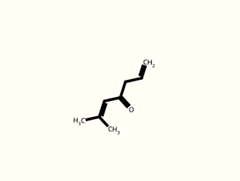 C=CCC(=O)C=C(C)C